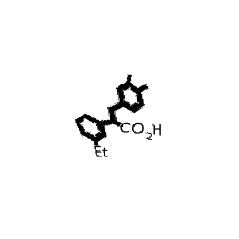 CCc1cccc(C(Cc2ccc(C)c(C)c2)C(=O)O)c1